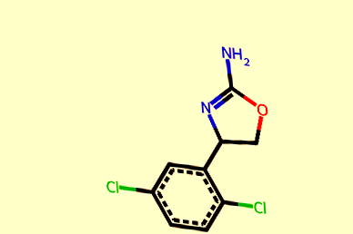 NC1=NC(c2cc(Cl)ccc2Cl)CO1